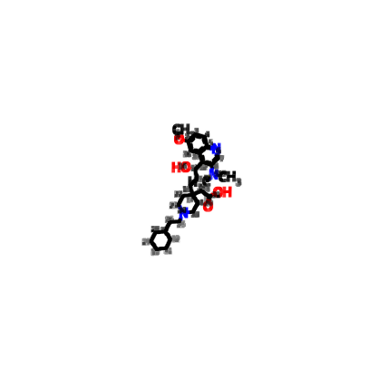 COc1ccc2ncc(N(C)C)c([C@@H](O)CCC3(CC(=O)O)CCN(CCC4CCCCC4)CC3)c2c1